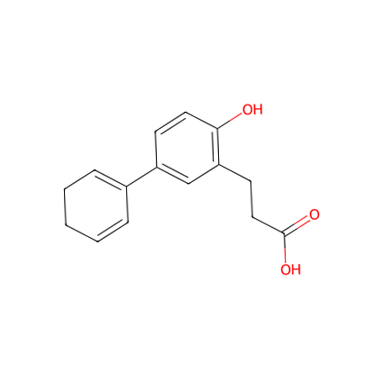 O=C(O)CCc1cc(C2=CCCC=C2)ccc1O